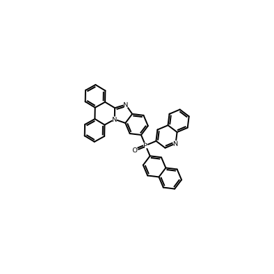 O=P(c1ccc2ccccc2c1)(c1cnc2ccccc2c1)c1ccc2nc3c4ccccc4c4ccccc4n3c2c1